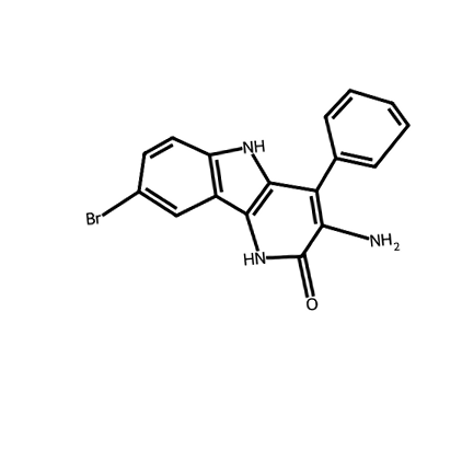 Nc1c(-c2ccccc2)c2[nH]c3ccc(Br)cc3c2[nH]c1=O